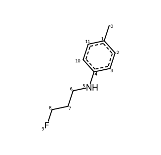 Cc1ccc(NCCCF)cc1